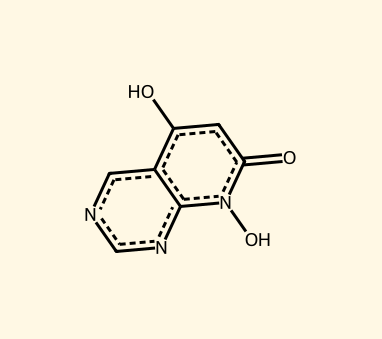 O=c1cc(O)c2cncnc2n1O